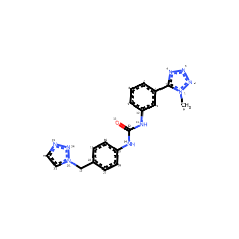 Cn1nnnc1-c1cccc(NC(=O)Nc2ccc(Cn3ccnn3)cc2)c1